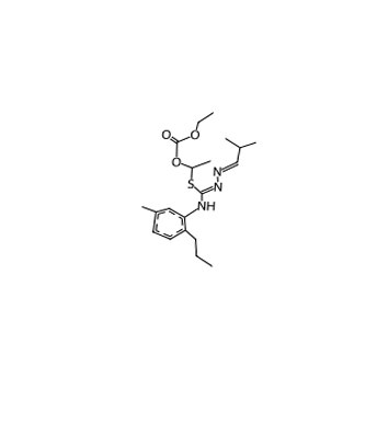 CCCc1ccc(C)cc1N/C(=N/N=C/C(C)C)SC(C)OC(=O)OCC